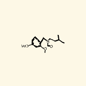 COc1cc(O)ccc1CN(C=O)CCC(C)C